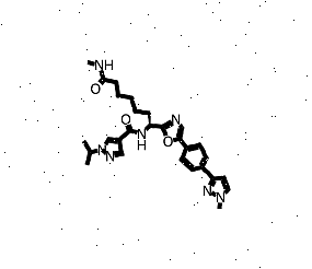 CNC(=O)CCCCC[C@H](NC(=O)c1cnn(C(C)C)c1)c1ncc(-c2ccc(-c3ccn(C)n3)cc2)o1